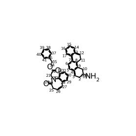 N[C@H]1CC=c2ccc3c(c2C1)CC=c1ccccc1=3.O=C(CN1C(=O)CC=Cc2ccccc21)OCc1ccccc1